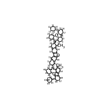 Cc1ccc2c(oc3c(-c4ccccc4)cccc32)c1N(c1ccccc1)c1ccc2cc3c(cc2c1)oc1cc2cc(N(c4ccccc4)c4c(C)ccc5c4oc4c(-c6ccccc6)cccc45)ccc2cc13